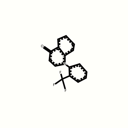 O=c1ccn(-c2ccccc2C(F)(F)F)c2ccccc12